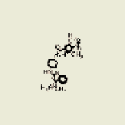 Cc1cc(C(=O)NC[C@H]2CC[C@@H](Nc3nc(N(C)C)c4ccccc4n3)CC2)cc(C)c1[N+](=O)[O-]